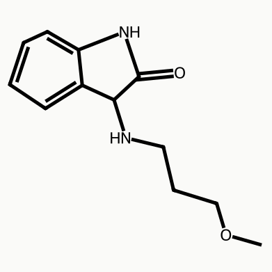 COCCCNC1C(=O)Nc2ccccc21